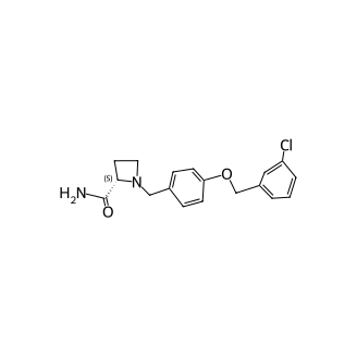 NC(=O)[C@@H]1CCN1Cc1ccc(OCc2cccc(Cl)c2)cc1